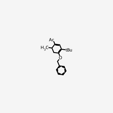 CC(=O)C1=CC(C(C)(C)C)=C(OCc2ccccc2)CC1C